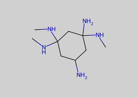 CNC1(N)CC(N)CC(NC)(NC)C1